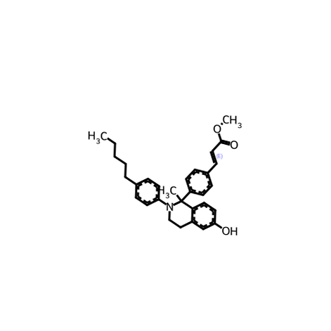 CCCCCc1ccc(N2CCc3cc(O)ccc3C2(C)c2ccc(/C=C/C(=O)OC)cc2)cc1